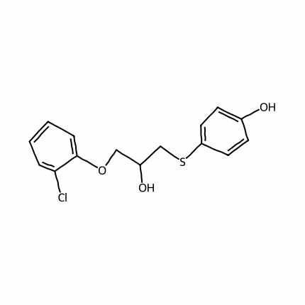 Oc1ccc(SCC(O)COc2ccccc2Cl)cc1